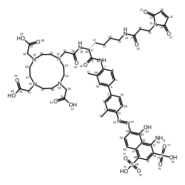 Cc1cc(-c2ccc(NC(=O)[C@@H](CCCCNC(=O)CCN3C(=O)C=CC3=O)NC(=O)CN3CCN(CC(=O)O)CCN(CC(=O)O)CCN(CC(=O)O)CC3)c(C)c2)ccc1N=Nc1ccc2c(S(=O)(=O)O)cc(S(=O)(=O)O)c(N)c2c1O